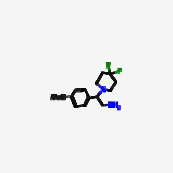 COc1ccc(C(CN)N2CCC(F)(F)CC2)cc1